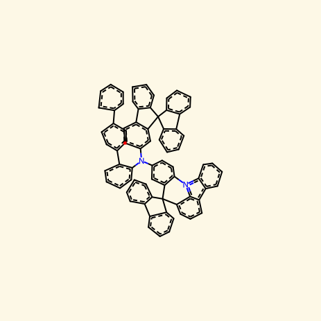 c1ccc(-c2ccc(-c3ccccc3N(c3ccc4c(c3)C3(c5ccccc5-c5ccccc53)c3ccccc3-4)c3ccc4c(c3)C3(c5ccccc5-c5ccccc53)c3cccc5c6ccccc6n-4c35)cc2)cc1